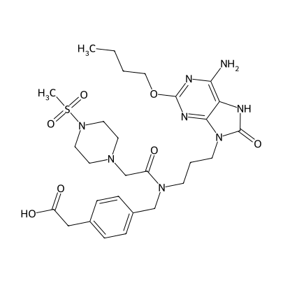 CCCCOc1nc(N)c2[nH]c(=O)n(CCCN(Cc3ccc(CC(=O)O)cc3)C(=O)CN3CCN(S(C)(=O)=O)CC3)c2n1